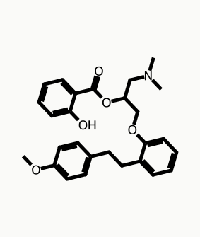 COc1ccc(CCc2ccccc2OCC(CN(C)C)OC(=O)c2ccccc2O)cc1